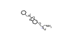 CN(Cc1ccccc1)c1nc2ccc(OC/C(=C/F)CN)cc2o1